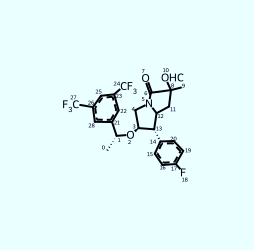 C[C@@H](O[C@H]1CN2C(=O)C(C)(C=O)CC2[C@@H]1c1ccc(F)cc1)c1cc(C(F)(F)F)cc(C(F)(F)F)c1